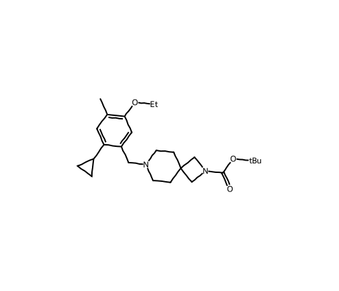 CCOc1cc(CN2CCC3(CC2)CN(C(=O)OC(C)(C)C)C3)c(C2CC2)cc1C